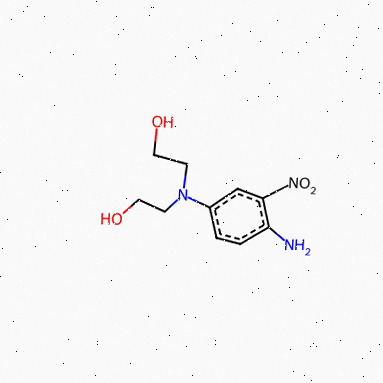 Nc1ccc(N(CCO)CCO)cc1[N+](=O)[O-]